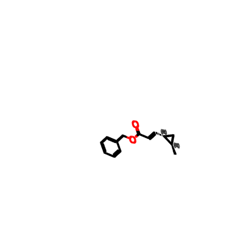 C[C@@H]1C[C@H]1C=CC(=O)OCc1ccccc1